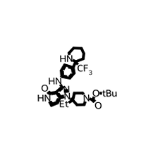 CCC1(n2nc(Nc3ccc(C4(C(F)(F)F)CCCCCN4)cc3)c3c(=O)[nH]ccc32)CCN(C(=O)OC(C)(C)C)CC1